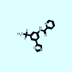 CC(F)(F)c1cc(NC(=O)c2ccccn2)cc(-c2cnco2)c1